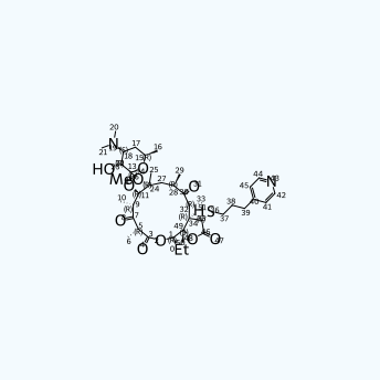 CC[C@H]1OC(=O)[C@H](C)C(=O)[C@H](C)[C@@H](O[C@@H]2O[C@H](C)C[C@H](N(C)C)[C@H]2O)[C@](C)(OC)C[C@@H](C)C(=O)[C@H](C)[C@H]2[C@H](SCCCc3ccncc3)C(=O)O[C@@]21C